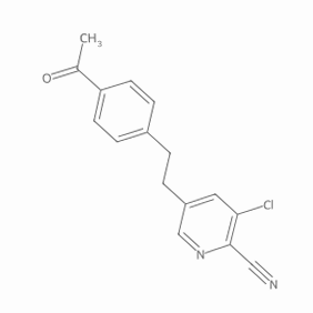 CC(=O)c1ccc(CCc2cnc(C#N)c(Cl)c2)cc1